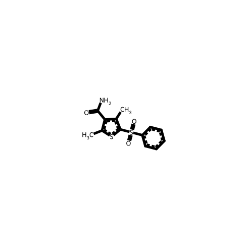 Cc1sc(S(=O)(=O)c2ccccc2)c(C)c1C(N)=O